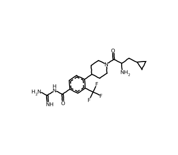 N=C(N)NC(=O)c1ccc(C2CCN(C(=O)C(N)CC3CC3)CC2)c(C(F)(F)F)c1